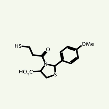 COc1ccc(C2SCC(C(=O)O)N2C(=O)CCS)cc1